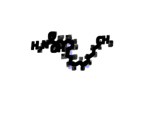 CCCCC/C=C\C/C=C\C/C=C\C/C=C\CCC(O)C(N)=O